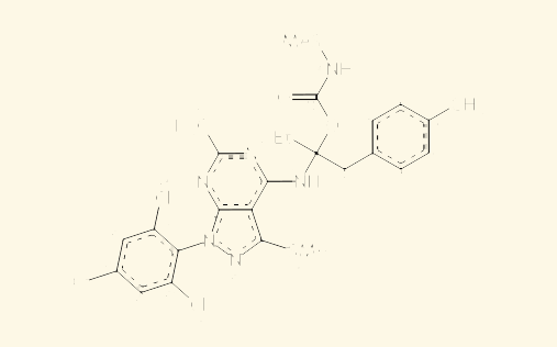 CCC(Cc1ccc(C)cc1)(Nc1nc(C)nc2c1c(SC)nn2-c1c(Cl)cc(Cl)cc1Cl)OC(=O)NSC